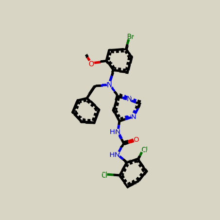 COc1cc(Br)ccc1N(Cc1ccccc1)c1cc(NC(=O)Nc2c(Cl)cccc2Cl)ncn1